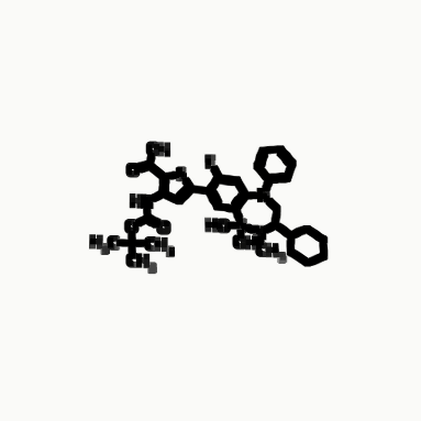 CN1C(C2CCCCC2)CN(c2ccccc2)c2cc(F)c(-c3cc(NC(=O)OC(C)(C)C)c(C(=O)O)s3)cc2S1(O)O